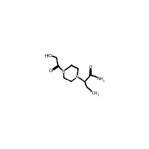 CCC(C(N)=O)N1CCN(C(=O)CO)CC1